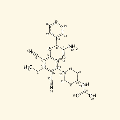 CCc1c(C#N)c(SC(C(N)=O)c2ccccc2)nc(N2CCC(NC(=O)O)CC2)c1C#N